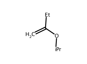 C=C(CC)OC(C)C